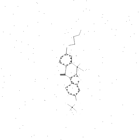 CC1(C)c2cc(OC[C@H](O)CO)ccc2C(=O)c2c1[nH]c1cc(OC(F)(F)F)ccc21